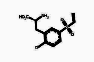 C=CS(=O)(=O)c1ccc(Cl)c(C[C@H](N)C(=O)O)c1